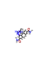 CC(C)[C@H](N)CC1(c2nnn[nH]2)c2ccc(C(=O)N(C)C)cc2CCc2cc(C(=O)N(C)C)ccc21